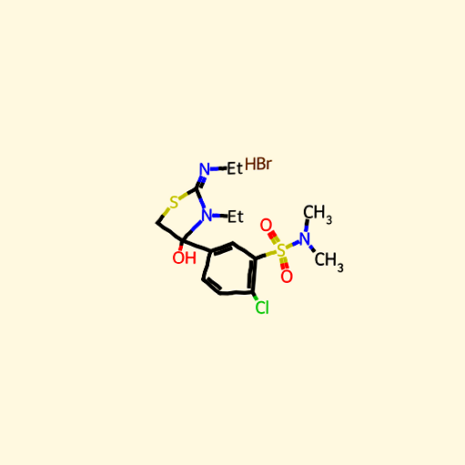 Br.CCN=C1SCC(O)(c2ccc(Cl)c(S(=O)(=O)N(C)C)c2)N1CC